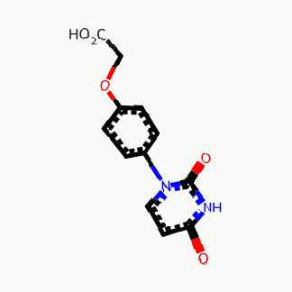 O=C(O)COc1ccc(-n2ccc(=O)[nH]c2=O)cc1